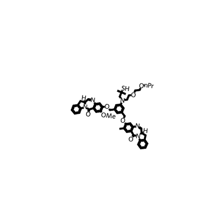 CCCOCCOCCN(CC(C)(C)S)c1cc(COc2cc3c(cc2C)C(=O)N2c4ccccc4C[C@@H]2C=N3)cc(COc2cc3c(cc2OC)C(=O)N2c4ccccc4C[C@H]2C=N3)c1